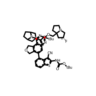 CC(C)(C)OC(=O)Nc1sc2cccc(-c3cc4nc(OCC56CCCN5C[C@H](F)C6)nc(N5C6CCC5CN(C(=O)OC(C)(C)C)C6)c4c4c3COC4)c2c1C#N